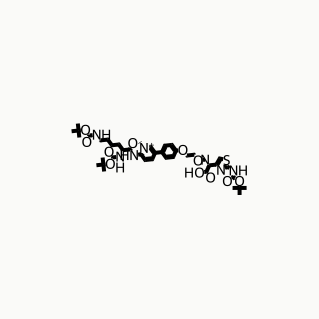 C[n+]1cc(-c2ccc(OCCO/N=C(\C(=O)O)c3csc(NC(=O)OC(C)(C)C)n3)cc2)ccc1NC(=O)C(CCCCNC(=O)OC(C)(C)C)NC(=O)OC(C)(C)C